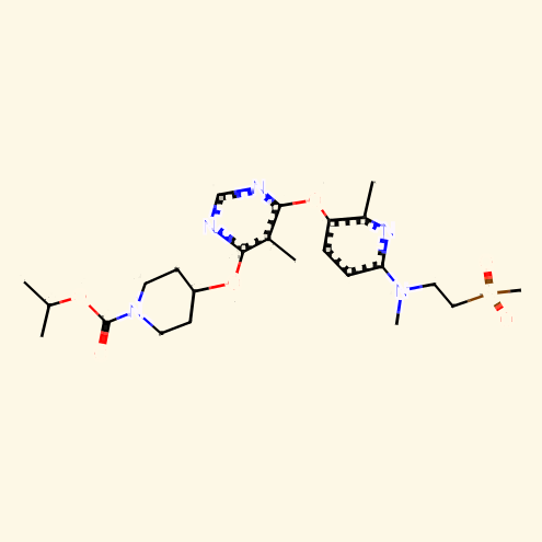 Cc1nc(N(C)CCS(C)(=O)=O)ccc1Oc1ncnc(OC2CCN(C(=O)OC(C)C)CC2)c1C